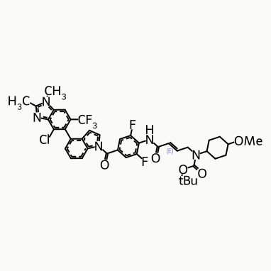 COC1CCC(N(C/C=C/C(=O)Nc2c(F)cc(C(=O)n3ccc4c(-c5c(C(F)(F)F)cc6c(nc(C)n6C)c5Cl)cccc43)cc2F)C(=O)OC(C)(C)C)CC1